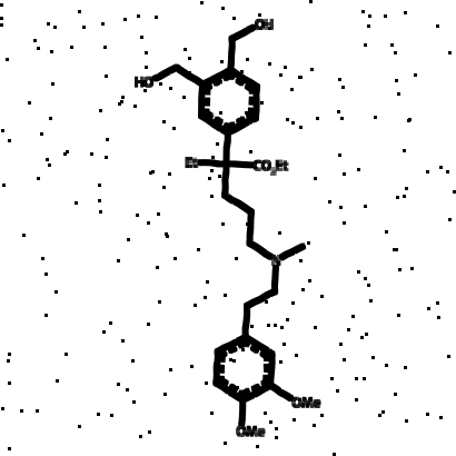 CCOC(=O)C(CC)(CCCN(C)CCc1ccc(OC)c(OC)c1)c1ccc(CO)c(CO)c1